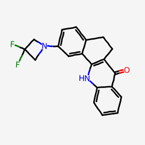 O=c1c2c([nH]c3ccccc13)-c1cc(N3CC(F)(F)C3)ccc1CC2